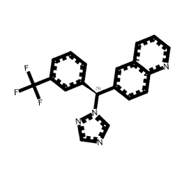 FC(F)(F)c1cccc([C@@H](c2ccc3ncccc3c2)n2cncn2)c1